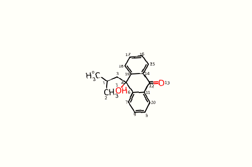 CC(C)CC1(O)c2ccccc2C(=O)c2ccccc21